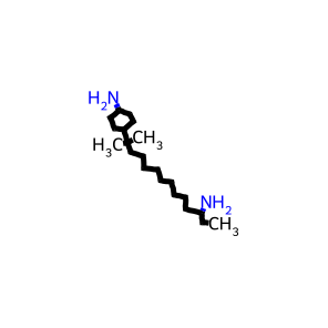 CCC(N)CCCCCCCCCC(C)(C)C1CCC(N)CC1